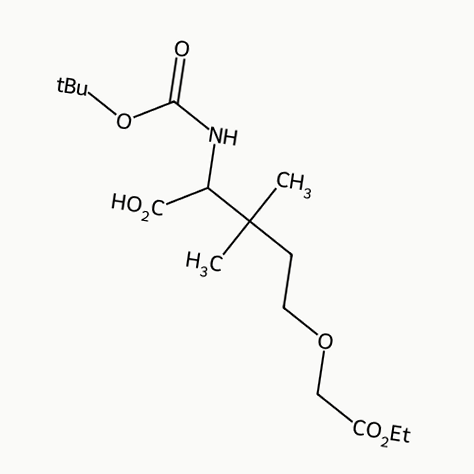 CCOC(=O)COCCC(C)(C)C(NC(=O)OC(C)(C)C)C(=O)O